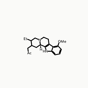 CCC1CN2CCc3c([nH]c4cccc(OC)c34)[C@@H]2CC1CC(C)=O